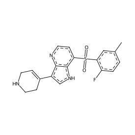 Cc1ccc(F)c(S(=O)(=O)c2ccnc3c(C4=CCNCC4)c[nH]c23)c1